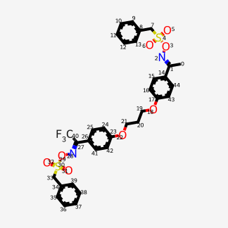 C/C(=N\OS(=O)(=O)Cc1ccccc1)c1ccc(OCCCOc2ccc(/C(=N/OS(=O)(=O)Cc3ccccc3)C(F)(F)F)cc2)cc1